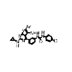 CC(=O)c1sc2nc(NC3CC3)nc(-c3cccc(NC(=O)Nc4ccc(Cl)cc4)c3)c2c1N